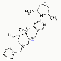 CC1COCC(C)N1c1ccc(/C=C2/CN(Cc3ccccc3)CC(C)(C)C2=O)cn1